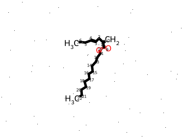 C=C(CC=CCCC)C(=O)OCCCCCCCCCCCC